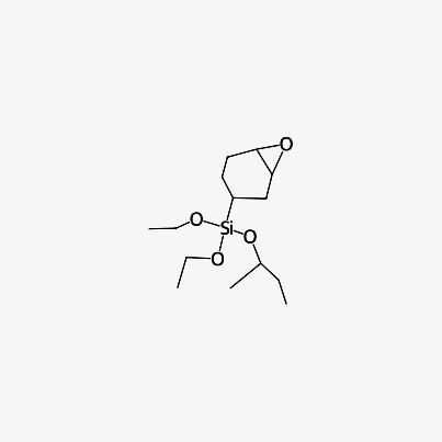 CCO[Si](OCC)(OC(C)CC)C1CCC2OC2C1